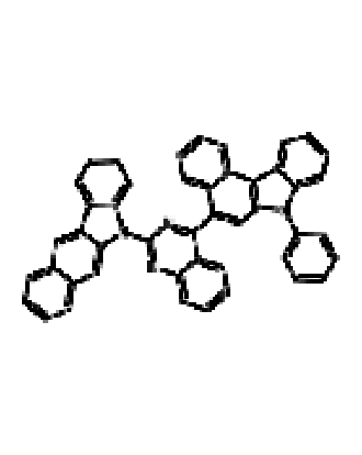 c1ccc(-n2c3ccccc3c3c4ccccc4c(-c4nc(-n5c6ccccc6c6cc7ccccc7cc65)nc5ccccc45)cc32)cc1